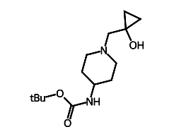 CC(C)(C)OC(=O)NC1CCN(CC2(O)CC2)CC1